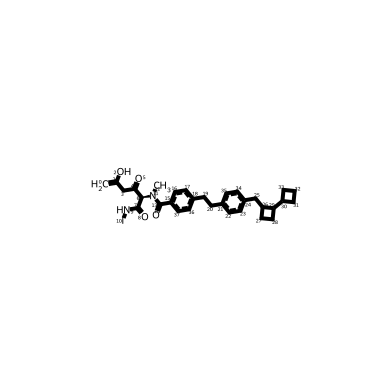 C=C(O)CC(=O)[C@H](C(=O)NI)N(C)C(=O)c1ccc(CCc2ccc(CC3CCC3C3CCC3)cc2)cc1